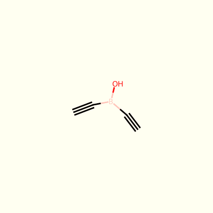 C#CB(O)C#C